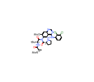 CN[C@@H](C)C(=O)N[C@H](C(=O)N(C(=O)[C@@H]1CCCN1)c1cc2c(Nc3cccc(Cl)c3Cl)ncnc2cc1OC)C(C)(C)C